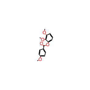 COc1ccc(C(=O)Oc2cccc(OC)c2OC)cc1